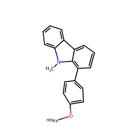 CCCCCCOc1ccc(-c2cccc3c4ccccc4n(C)c23)cc1